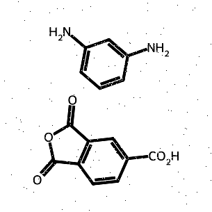 Nc1cccc(N)c1.O=C(O)c1ccc2c(c1)C(=O)OC2=O